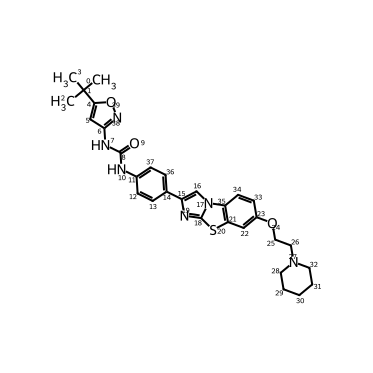 CC(C)(C)c1cc(NC(=O)Nc2ccc(-c3cn4c(n3)sc3cc(OCCN5CCCCC5)ccc34)cc2)no1